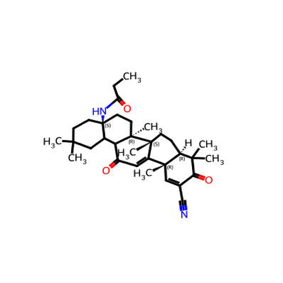 CCC(=O)N[C@]12CCC(C)(C)CC1C1C(=O)C=C3[C@@]4(C)C=C(C#N)C(=O)C(C)(C)[C@@H]4CC[C@@]3(C)[C@]1(C)CC2